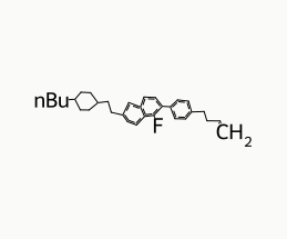 C=CCCc1ccc(-c2ccc3cc(CCC4CCC(CCCC)CC4)ccc3c2F)cc1